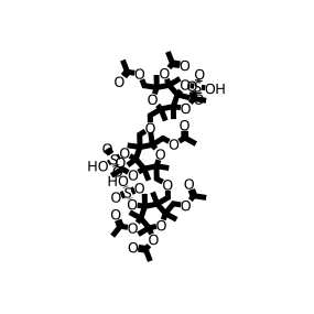 CC(=O)OCC1(C)OC(C)(COCC2(C)C(C)(COC(C)=O)OC(C)(OC(C)=O)C(C)(OC(C)=O)C2(C)OS(=O)(=O)O)C(C)(OC(C)=O)C(C)(OS(=O)(=O)O)C1(C)COCC1(C)OC(C)(COC(C)=O)C(C)(OC(C)=O)C(C)(OS(=O)(=O)O)C1(C)OC(C)=O